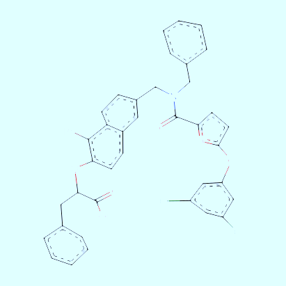 O=C(O)C(Cc1ccccc1)Oc1ccc2cc(CN(Cc3ccccc3)C(=O)c3ccc(Oc4cc(Cl)cc(Cl)c4)o3)ccc2c1Br